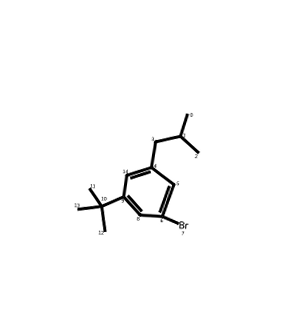 CC(C)Cc1cc(Br)cc(C(C)(C)C)c1